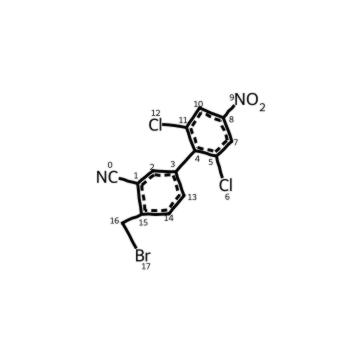 N#Cc1cc(-c2c(Cl)cc([N+](=O)[O-])cc2Cl)ccc1CBr